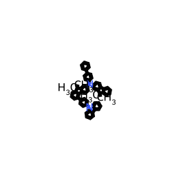 CC1(C)c2ccccc2-c2ccc(N(c3ccc(-c4ccccc4)cc3)c3ccc4c(c3)C(C)(C)c3cccc(-c5ccc(-n6c7ccccc7c7ccccc76)cc5)c3-4)cc21